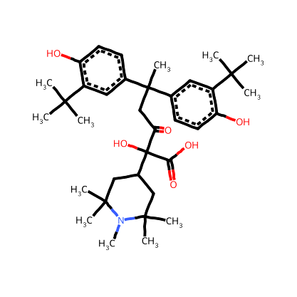 CN1C(C)(C)CC(C(O)(C(=O)O)C(=O)CC(C)(c2ccc(O)c(C(C)(C)C)c2)c2ccc(O)c(C(C)(C)C)c2)CC1(C)C